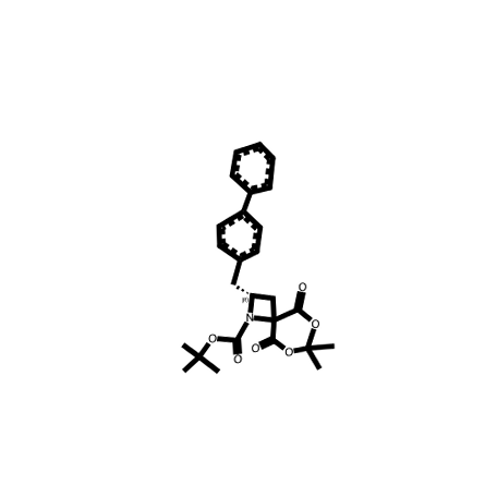 CC(C)(C)OC(=O)N1[C@H](Cc2ccc(-c3ccccc3)cc2)CC12C(=O)OC(C)(C)OC2=O